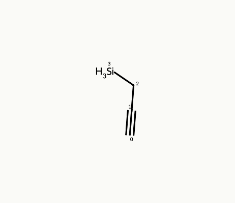 C#CC[SiH3]